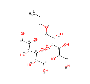 CCCOCC(O)C(O)C(O)C(O)CO.OCC(O)C(O)C(O)C(O)CO